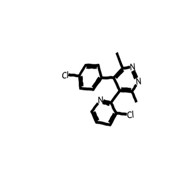 Cc1nnc(C)c(-c2ncccc2Cl)c1-c1ccc(Cl)cc1